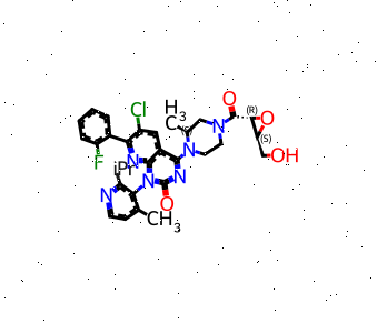 Cc1ccnc(C(C)C)c1-n1c(=O)nc(N2CCN(C(=O)[C@@H]3O[C@H]3CO)C[C@@H]2C)c2cc(Cl)c(-c3ccccc3F)nc21